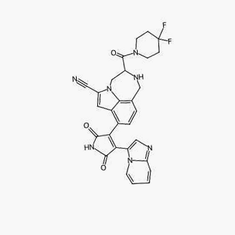 N#Cc1cc2c(C3=C(c4cnc5ccccn45)C(=O)NC3=O)ccc3c2n1CC(C(=O)N1CCC(F)(F)CC1)NC3